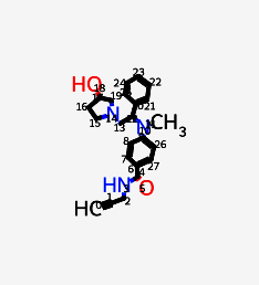 C#CCNC(=O)c1ccc(N(C)C(CN2CCC(O)C2)c2ccccc2)cc1